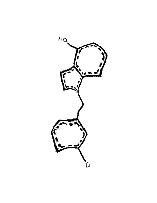 Oc1cccc2c1ccn2Cc1cccc(Cl)c1